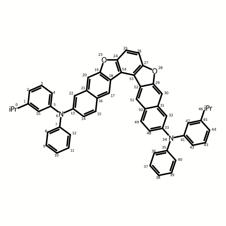 CC(C)c1cccc(N(c2ccccc2)c2ccc3cc4c(cc3c2)oc2ccc3oc5cc6cc(N(c7ccccc7)c7cccc(C(C)C)c7)ccc6cc5c3c24)c1